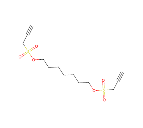 C#CCS(=O)(=O)OCCCCCCCOS(=O)(=O)CC#C